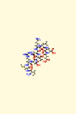 CC[C@H](C)[C@H](N)C(=O)N[C@@H](CCSC)C(=O)N[C@@H](CCCNC(=N)N)C(=O)N[C@@H](CC(=O)O)C(=O)N[C@H](C(=O)N[C@@H](CC(N)=O)C(=O)N[C@@H](CCCCN)C(=O)N[C@@H](CC(C)C)C(=O)N[C@@H](CCC(=O)O)C(=O)N[C@@H](CCC(=O)O)C(=O)O)[C@@H](C)CC